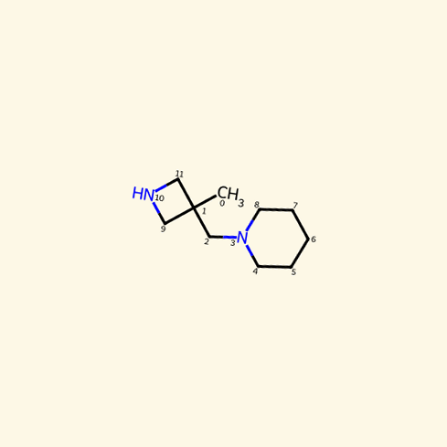 CC1(CN2CCCCC2)CNC1